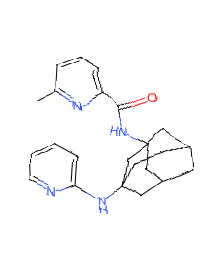 Cc1cccc(C(=O)NC23CC4CC(C2)CC(Nc2ccccn2)(C4)C3)n1